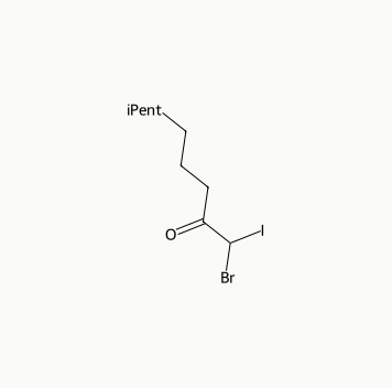 CCCC(C)CCCC(=O)C(Br)I